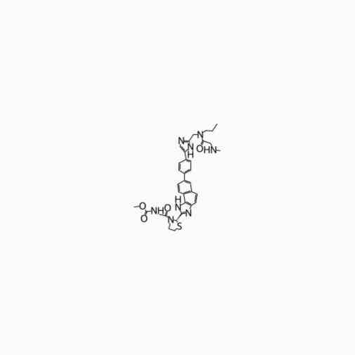 CCCN(Cc1ncc(-c2ccc(-c3ccc4c(ccc5nc([C@H]6SCCN6C(=O)CNC(=O)OC)[nH]c54)c3)cc2)[nH]1)C(=O)CNC